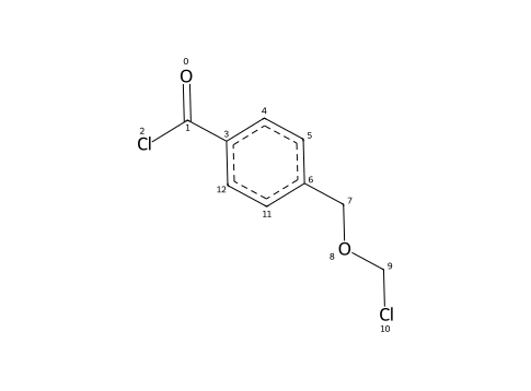 O=C(Cl)c1ccc(COCCl)cc1